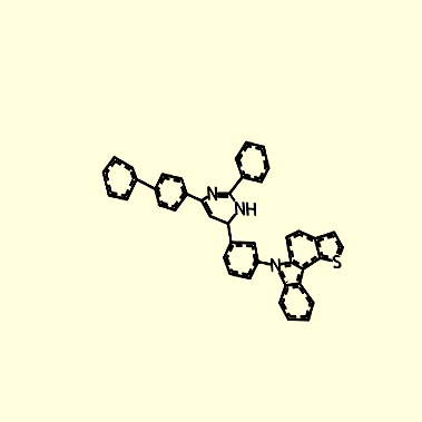 C1=C(c2ccc(-c3ccccc3)cc2)N=C(c2ccccc2)NC1c1cccc(-n2c3ccccc3c3c4sccc4ccc32)c1